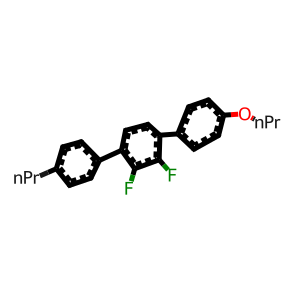 CCCOc1ccc(-c2ccc(-c3ccc(CCC)cc3)c(F)c2F)cc1